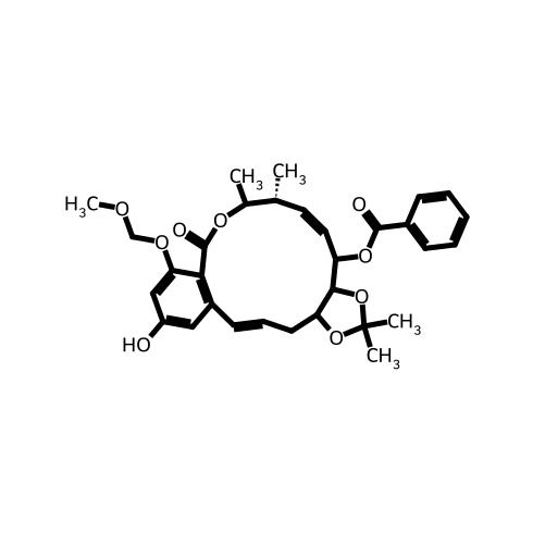 COCOc1cc(O)cc2c1C(=O)OC(C)[C@H](C)/C=C\C(OC(=O)c1ccccc1)C1OC(C)(C)OC1C/C=C/2